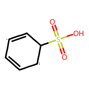 O=S(=O)(O)C1[C]C=C[C]=C1